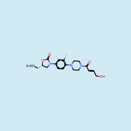 CC(=O)NC[C@H]1CN(c2ccc(N3CCN(C(=O)C=CCO)CC3)c(F)c2)C(=O)O1